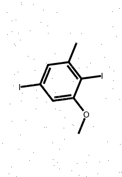 COc1cc(I)cc(C)c1I